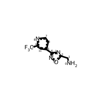 NCc1nc(-c2ccnc(C(F)(F)F)c2)no1